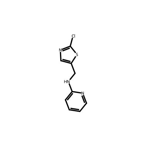 Clc1ncc(CNc2ccccn2)s1